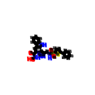 O=C(NO)C(=Cc1c[nH]c2ccccc12)n1cc(CNS(=O)(=O)c2ccc(-c3ccccc3)s2)nn1